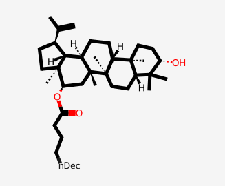 C=C(C)[C@@H]1CC[C@@]2(C)[C@H]1[C@H]1CC[C@@H]3[C@@]4(C)CC[C@H](O)C(C)(C)[C@@H]4CC[C@@]3(C)[C@]1(C)C[C@@H]2OC(=O)CCCCCCCCCCCCC